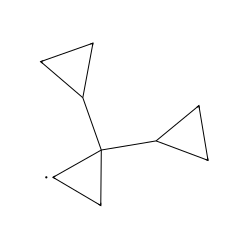 [CH]1CC1(C1CC1)C1CC1